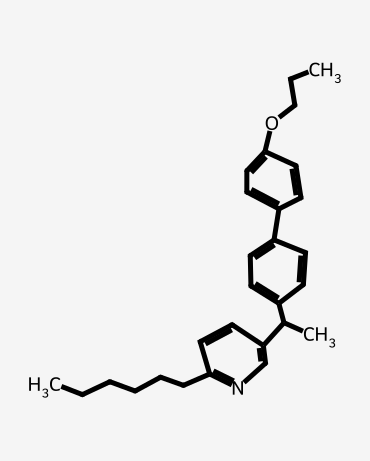 CCCCCCc1ccc(C(C)c2ccc(-c3ccc(OCCC)cc3)cc2)cn1